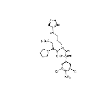 Nc1c(Cl)cc(S(=O)(=O)N[C@@H](CCCNc2ncc[nH]2)C(=O)N(CC(=O)O)C2CCCC2)cc1Cl